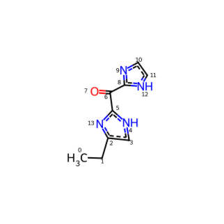 CCc1c[nH]c(C(=O)c2ncc[nH]2)n1